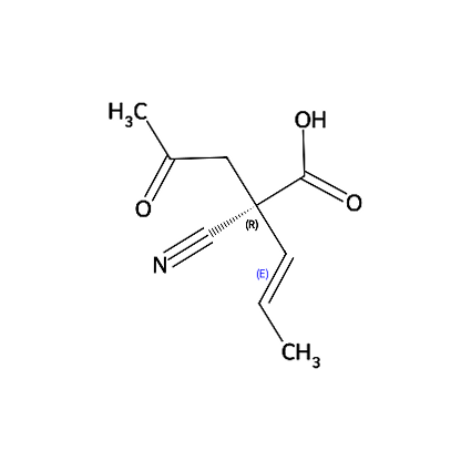 C/C=C/[C@@](C#N)(CC(C)=O)C(=O)O